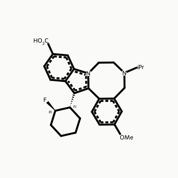 COc1ccc2c(c1)CN(C(C)C)CCn1c-2c([C@@H]2CCCC[C@H]2F)c2ccc(C(=O)O)cc21